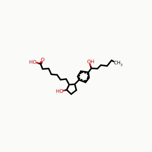 CCCCCC(O)c1ccc(C2CCC(O)C2CCCCCCC(=O)O)cc1